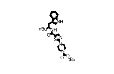 CCCCC(Cc1c[nH]c2ccccc12)NC(=O)c1cnc(N2CCN(C(=O)OC(C)(C)C)CC2)s1